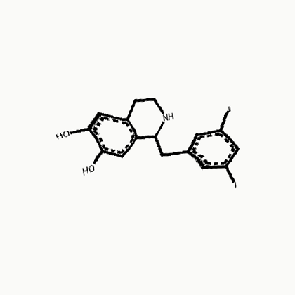 Oc1cc2c(cc1O)C(Cc1cc(I)cc(I)c1)NCC2